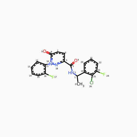 CC(NC(=O)c1ccc(=O)n(-c2ccccc2F)n1)c1cccc(F)c1Cl